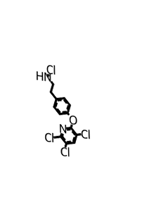 ClNCCc1ccc(Oc2nc(Cl)c(Cl)cc2Cl)cc1